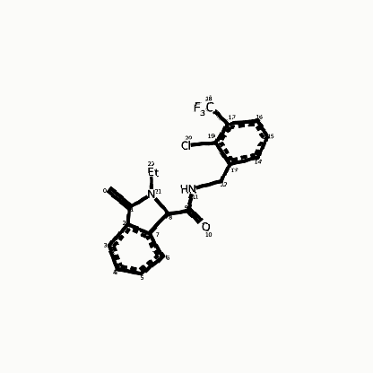 C=C1c2ccccc2C(C(=O)NCc2cccc(C(F)(F)F)c2Cl)N1CC